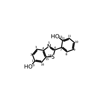 Oc1ccc2nc(-c3ccccc3O)sc2c1